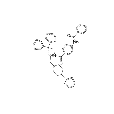 O=C(NCC(CCCN1CCC(c2ccccc2)CC1)(c1ccccc1)c1ccccc1)c1ccc(NC(=O)c2ccccc2)cc1